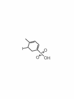 CC1=CC=C(S(=O)(=O)O)CC1I